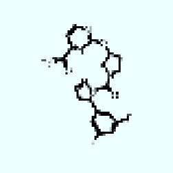 NC(=O)c1ccnc(OC2CCN(C(=O)N3N=CCC3c3cc(F)cc(F)c3)C2)n1